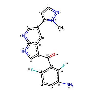 Cn1nccc1-c1cnc2[nH]cc(C(=O)c3c(F)ccc(N)c3F)c2c1